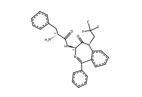 N[C@H](Cc1ccccc1)C(=O)N[C@@H]1N=C(c2ccccc2)c2ccccc2N(CC(F)(F)F)C1=O